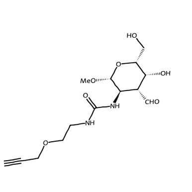 C#CCOCCNC(=O)N[C@H]1[C@H](OC)O[C@H](CO)[C@H](O)[C@@H]1C=O